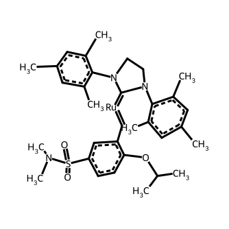 Cc1cc(C)c(N2CCN(c3c(C)cc(C)cc3C)[C]2=[Ru]=[CH]c2cc(S(=O)(=O)N(C)C)ccc2OC(C)C)c(C)c1